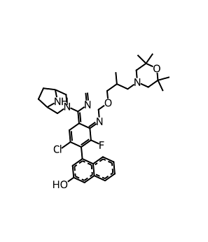 C=N/C(=C1/C=C(Cl)C(c2cc(O)cc3ccccc23)=C(F)/C1=N/COCC(C)CN1CC(C)(C)OC(C)(C)C1)N1CC2CCC(C1)N2